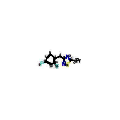 CC(C)c1nc(Cc2ccc(F)cc2F)ns1